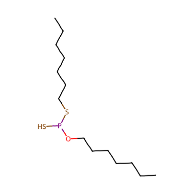 CCCCCCCOP(S)SCCCCCCC